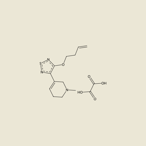 C=CCCOc1nsnc1C1=CCCN(C)C1.O=C(O)C(=O)O